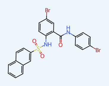 O=C(Nc1ccc(Br)cc1)c1cc(Br)ccc1NS(=O)(=O)c1ccc2ccccc2c1